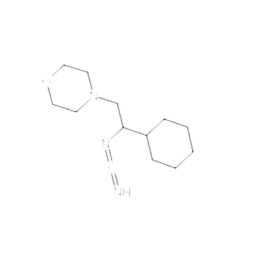 N=C=NC(CN1CCOCC1)C1CCCCC1